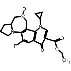 CCOC(=O)c1cn(C2CC2)c2c3c(c(F)cc2c1=O)N1CCCC1C[S+]([O-])C3